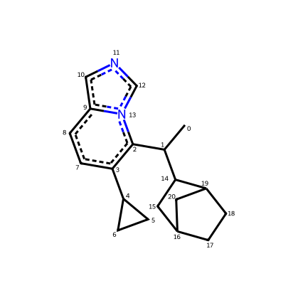 CC(c1c(C2CC2)ccc2cncn12)C1CC2CCC1C2